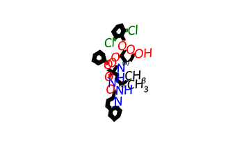 CC(C)[C@H](NC(=O)c1ccc2ccccc2n1)C1=NOC(COc2ccccc2)(C(=O)N[C@@H](CC(=O)O)C(=O)COCc2c(Cl)cccc2Cl)C1